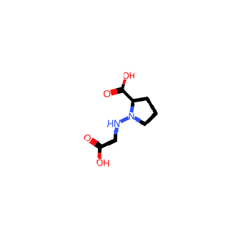 O=C(O)CNN1CCCC1C(=O)O